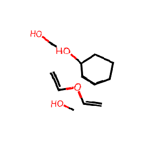 C=COC=C.CO.CO.OC1CCCCC1